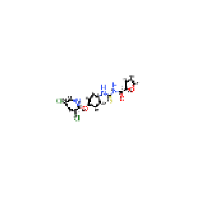 O=C(NC(=S)Nc1ccc(Oc2ncc(Cl)cc2Cl)cc1)c1ccco1